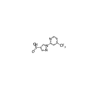 O=[SH](=O)c1cnn(-c2cc(C(F)(F)F)ccn2)c1